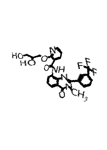 Cn1c(-c2cccc(C(F)(F)F)c2)nc2c(NC(=O)c3cccnc3OCC(O)CO)cccc2c1=O